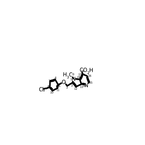 Cn1c(COc2ccc(Cl)cc2)cc2nccc(C(=O)O)c21